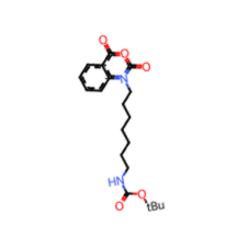 CC(C)(C)OC(=O)NCCCCCCCn1c(=O)oc(=O)c2ccccc21